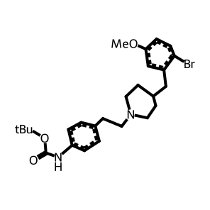 COc1ccc(Br)c(CC2CCN(CCc3ccc(NC(=O)OC(C)(C)C)cc3)CC2)c1